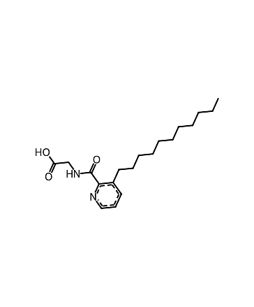 CCCCCCCCCCCc1cccnc1C(=O)NCC(=O)O